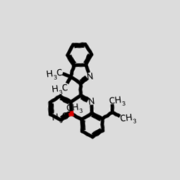 CC(C)c1cccc(C(C)C)c1/N=C(/C1=Nc2ccccc2C1(C)C)c1ccccc1